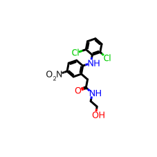 O=C(Cc1cc([N+](=O)[O-])ccc1Nc1c(Cl)cccc1Cl)NCCO